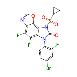 O=c1n(-c2ccc(Br)cc2F)c2c(F)c(F)c3ncoc3c2n1S(=O)(=O)C1CC1